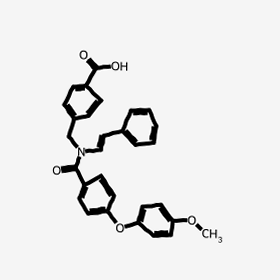 COc1ccc(Oc2ccc(C(=O)N(C=Cc3ccccc3)Cc3ccc(C(=O)O)cc3)cc2)cc1